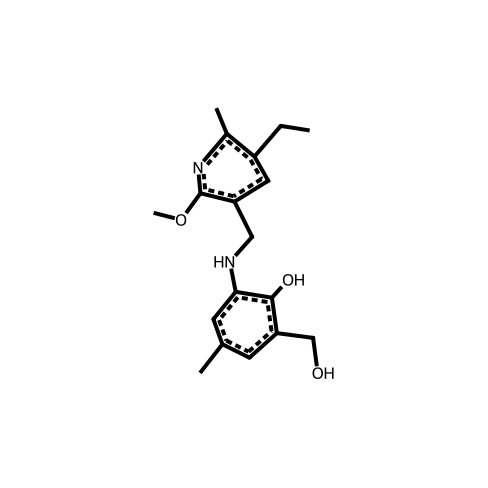 CCc1cc(CNc2cc(C)cc(CO)c2O)c(OC)nc1C